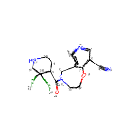 N#Cc1cncc2c1OCCN(C(=O)C1CCNCC1(F)F)C2